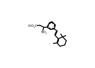 CCOC(=O)CC(N)c1cccc(/C=C/C2=C(C)CCCC2(C)C)c1